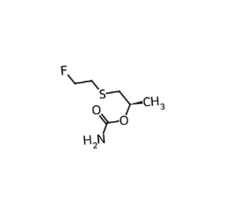 C[C@H](CSCCF)OC(N)=O